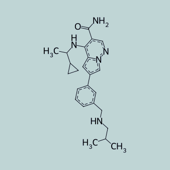 CC(C)CNCc1cccc(-c2cc3c(NC(C)C4CC4)c(C(N)=O)cnn3c2)c1